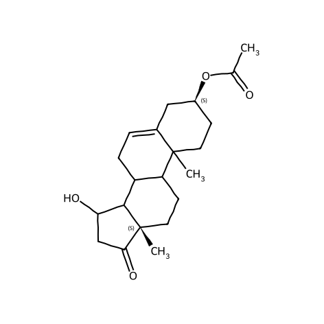 CC(=O)O[C@H]1CCC2(C)C(=CCC3C2CC[C@]2(C)C(=O)CC(O)C32)C1